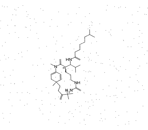 C=C(N)NCCC[C@@H](C(=C)N(C)C1=CCC(C)(CCC(=C)C(C)(C)C)C=C1)C(NC(=C)CCCCCC(C)C)C(C)C